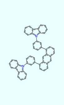 c1cc(-c2cccc3cc4cccc(-c5cccc(-n6c7ccccc7c7ccccc76)c5)c4cc23)cc(-n2c3ccccc3c3ccccc32)c1